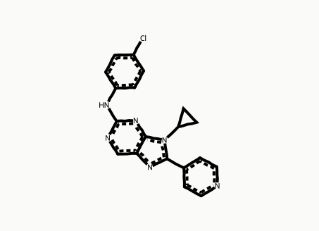 Clc1ccc(Nc2ncc3nc(-c4ccncc4)n(C4CC4)c3n2)cc1